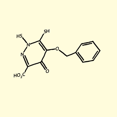 O=C(O)c1nn(S)c(S)c(OCc2ccccc2)c1=O